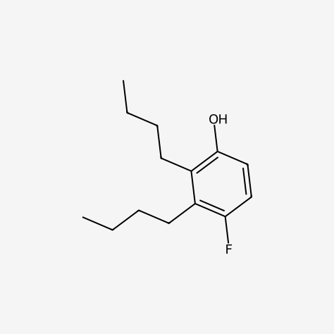 CCCCc1c(O)ccc(F)c1CCCC